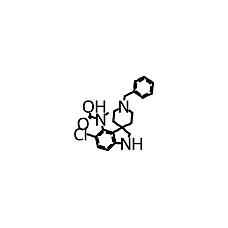 CN(C(=O)O)c1c(Cl)ccc2c1C1(CCN(Cc3ccccc3)CC1)CN2